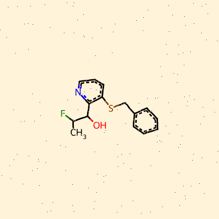 CC(F)C(O)c1ncccc1SCc1ccccc1